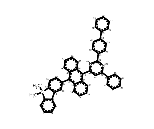 C[Si]1(C)c2ccccc2-c2cc(-c3c4ccccc4c(-c4cc(-c5ccccc5)nc(-c5ccc(-c6ccccc6)cc5)n4)c4ccccc34)ccc21